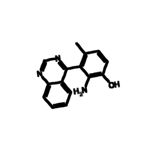 Cc1ccc(O)c(N)c1-c1ncnc2ccccc12